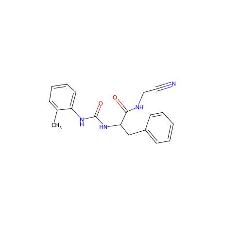 Cc1ccccc1NC(=O)NC(Cc1ccccc1)C(=O)NCC#N